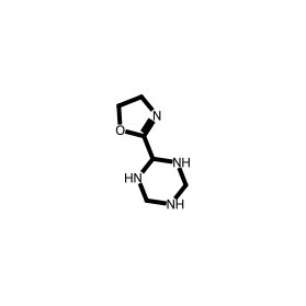 C1COC(C2NCNCN2)=N1